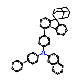 c1ccc(-c2ccc(N(c3ccc(-c4cccc5c4-c4ccccc4C54C5CC6CC(C5)CC4C6)cc3)c3ccc4ccccc4c3)cc2)cc1